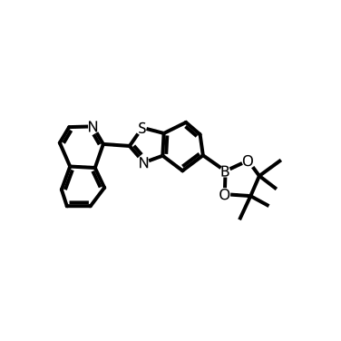 CC1(C)OB(c2ccc3sc(-c4nccc5ccccc45)nc3c2)OC1(C)C